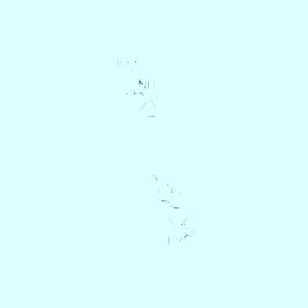 Cc1cc(OCCCCCCCc2ccc(C(=O)NCCC(=O)O)cc2)cc(C)c1-c1ccc(OC(F)(F)F)cc1